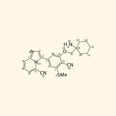 CSc1cc(-c2cnc3cccc(C#N)n23)cc(OCC2(N)CCCCC2)c1C#N